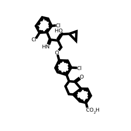 N=C(/C(COc1ccc(C2CCc3cc(C(=O)O)ccc3C2=O)c(Cl)c1)=C(\O)C1CC1)c1c(Cl)cccc1Cl